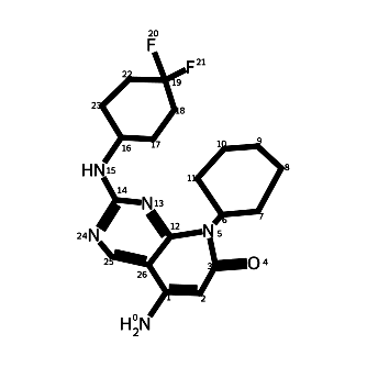 Nc1cc(=O)n(C2CCCCC2)c2nc(NC3CCC(F)(F)CC3)ncc12